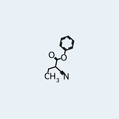 CCC(C#N)C(=O)Oc1ccccc1